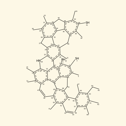 Bc1c(S)c(C)c2c3c4c5c(c(C)c(C)c6c5c(c13)-c1c(C)c3c5c(c1N6)Cc1c(C)c(C)c6c(c1-5)-c1c(c(C)c(S)c(C)c1C6)C3)C=Cc1c(C)c(C=C)c(-c3c(C)c(C)c(C)c(CC)c3C)c(c1-4)C2